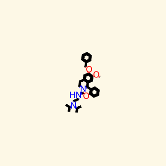 COc1cc2c(cc1OCc1ccccc1)CCN(C(=O)NCCN(C(C)C)C(C)C)C2c1ccccc1